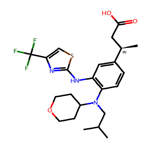 CC(C)CN(c1ccc([C@H](C)CC(=O)O)cc1Nc1nc(C(F)(F)F)cs1)C1CCOCC1